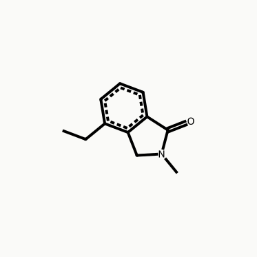 CCc1cccc2c1CN(C)C2=O